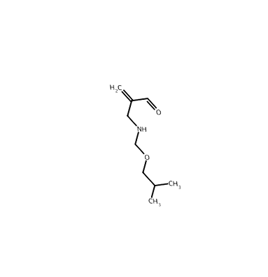 C=C(C=O)CNCOCC(C)C